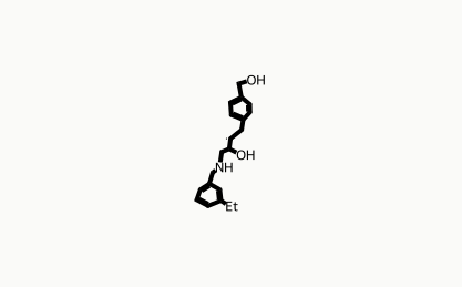 CCc1cccc(CNCC(O)[CH]Cc2ccc(CO)cc2)c1